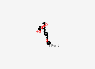 C=C(C)C(=O)OCC(CCC1CCC(CCCOc2ccc(CCCCC)cc2)CC1)COC(=C)C(=C)CO